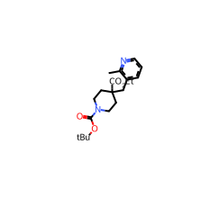 CCOC(=O)C1(Cc2cccnc2C)CCN(C(=O)OC(C)(C)C)CC1